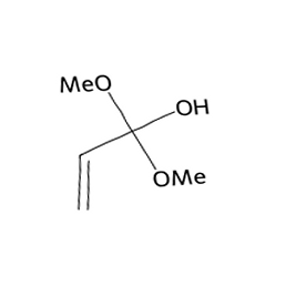 C=CC(O)(OC)OC